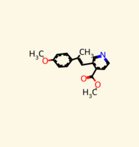 COC(=O)c1ccncc1/C=C(\C)c1ccc(OC)cc1